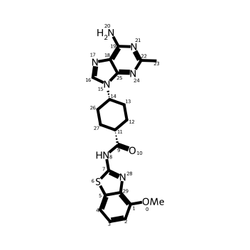 COc1cccc2sc(NC(=O)[C@H]3CC[C@@H](n4cnc5c(N)nc(C)nc54)CC3)nc12